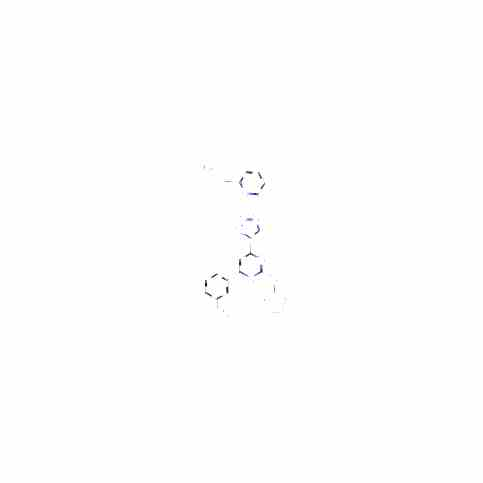 COC(C)c1cccc(Cn2cc(-c3cc(-c4cccc(C#N)c4)nc(NC4CCOC4)n3)nn2)n1